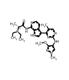 CCN(CC)[C@H](C)C(=O)Nc1nccc2c(-c3nc(Nc4cn(C)nc4OC)ncc3C)c[nH]c12